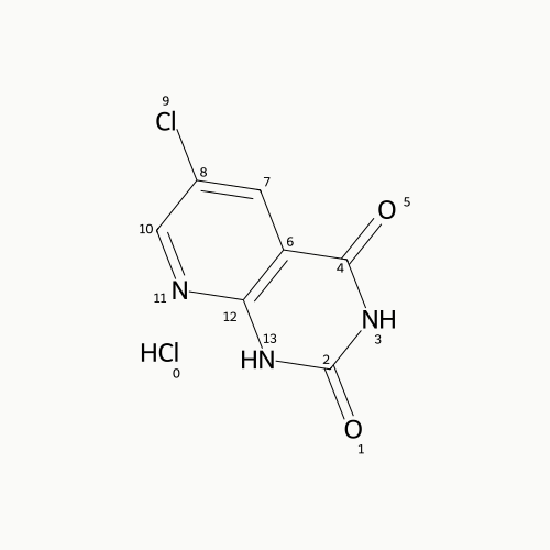 Cl.O=c1[nH]c(=O)c2cc(Cl)cnc2[nH]1